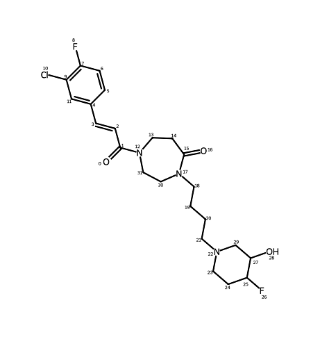 O=C(/C=C/c1ccc(F)c(Cl)c1)N1CCC(=O)N(CCCCN2CCC(F)C(O)C2)CC1